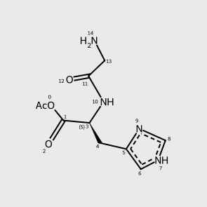 CC(=O)OC(=O)[C@H](Cc1c[nH]cn1)NC(=O)CN